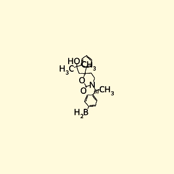 Bc1ccc([C@H](C)N2CCC(CC(C)(C)O)(c3ccccc3)OC2=O)cc1